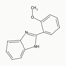 COc1ccccc1-c1nc2ccccc2[nH]1